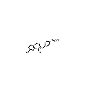 COc1ccc(CN2CCc3ccc(Cl)nc3C2=O)cc1